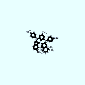 Cc1cc2c3c(c1)N(c1ccc(C(C)(C)C)cc1)c1sc4ccc(C(C)(C)C)cc4c1B3c1cc3c(cc1N2c1ccc(C(C)(C)C)cc1)C(C)(C)CCC3(C)C